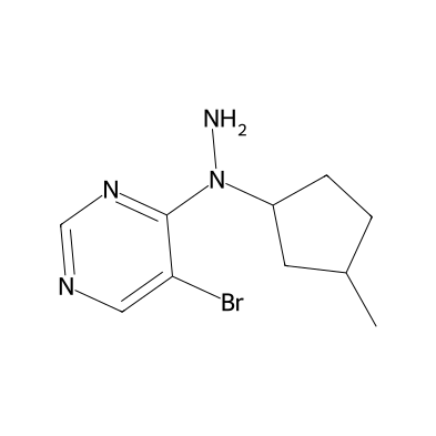 CC1CCC(N(N)c2ncncc2Br)C1